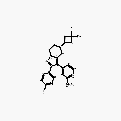 CC(=O)Nc1cc(-c2c(-c3ccc(F)cc3)nn3c2CN(C2CC(F)(F)C2)CC3)ccn1